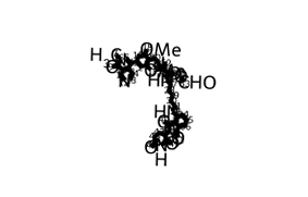 COc1cc(-c2cn(C)c(=O)c3cnccc23)cc(OC)c1CN1CC(C(=O)NCCCCCNc2cccc3c2C(=O)N(C2CCC(=O)NC2=O)C3=O)C1.O=CO